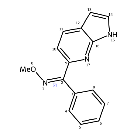 CO/N=C(/c1ccccc1)c1ccc2cc[nH]c2n1